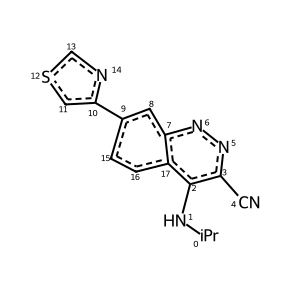 CC(C)Nc1c(C#N)nnc2cc(-c3cscn3)ccc12